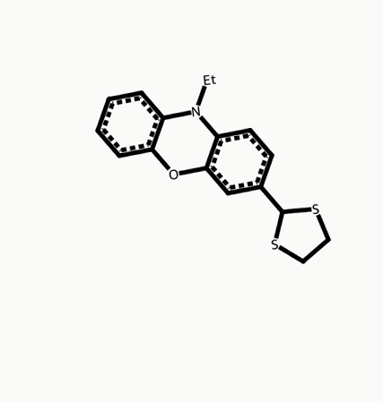 CCN1c2ccccc2Oc2cc(C3SCCS3)ccc21